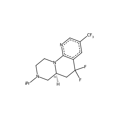 CC(C)N1CCN2c3ncc(C(F)(F)F)cc3C(F)(F)C[C@H]2C1